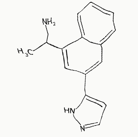 CC(N)c1cc(-c2ccn[nH]2)cc2ccccc12